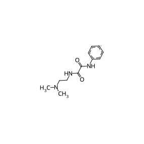 CN(C)CCNC(=O)C(=O)Nc1cc[c]cc1